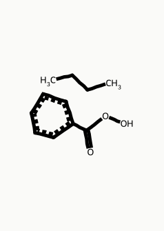 CCCC.O=C(OO)c1ccccc1